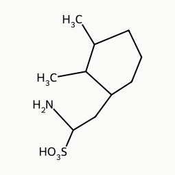 CC1CCCC(CC(N)S(=O)(=O)O)C1C